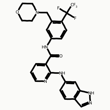 O=C(Nc1ccc(C(F)(F)C(F)(F)F)c(CN2CCOCC2)c1)c1cccnc1Nc1ccc2cn[nH]c2c1